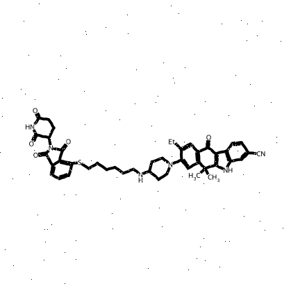 CCc1cc2c(cc1N1CCC(NCCCCCCSc3cccc4c3C(=O)N(C3CCC(=O)NC3=O)C4=O)CC1)C(C)(C)c1[nH]c3cc(C#N)ccc3c1C2=O